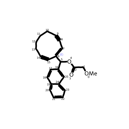 COCC(=O)OC(/C1=C/C#CCCCCC#C1)c1ccc2ccccc2c1